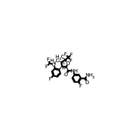 C[C@H]1[C@H](c2ccc(F)cc2OC(F)F)[C@H](C(=O)Nc2ccc(F)c(C(N)=O)c2)O[C@@]1(C)C(F)(F)F